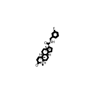 CN1C(=O)C=C[C@]2(C)[C@H]3CC[C@]4(C)[C@@H](C(=O)NCc5cccc(F)c5)CC[C@H]4[C@@H]3CC[C@@H]12